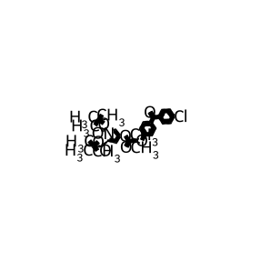 CC(C)(C)OC(=O)[C@@H]1CC(OC(=O)C(C)(C)Oc2ccc(C(=O)c3ccc(Cl)cc3)cc2)CN1C(=O)OC(C)(C)C